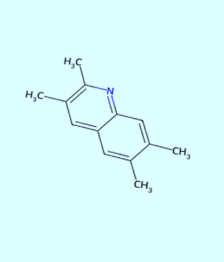 Cc1cc2cc(C)c(C)nc2cc1C